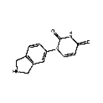 O=c1ccn(-c2ccc3c(c2)CNC3)c(=O)[nH]1